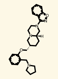 c1ccc(OC[C@H]2CC[C@H]3CN(c4noc5ccccc45)CCN3C2)c(CN2CCCC2)c1